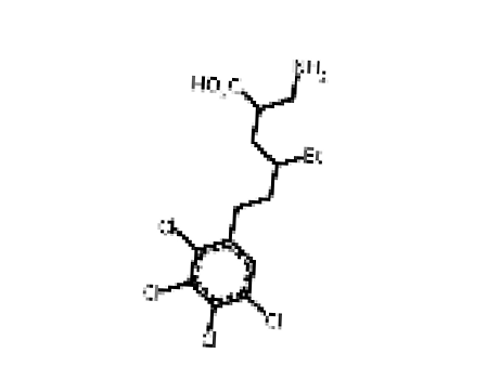 CCC(CCc1cc(Cl)c(Cl)c(Cl)c1Cl)CC(CN)C(=O)O